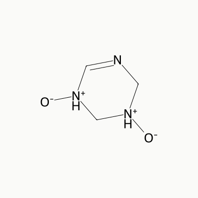 [O-][NH+]1C=NC[NH+]([O-])C1